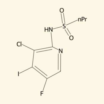 CCCS(=O)(=O)Nc1ncc(F)c(I)c1Cl